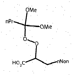 CCCCCCCCCCC(OOC(CCC)(OC)OC)C(=O)O